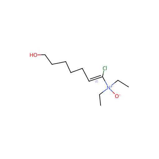 CC[N+]([O-])(CC)/C(Cl)=C/CCCCCO